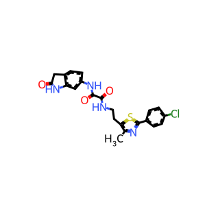 Cc1nc(-c2ccc(Cl)cc2)sc1CCNC(=O)C(=O)Nc1ccc2c(c1)NC(=O)C2